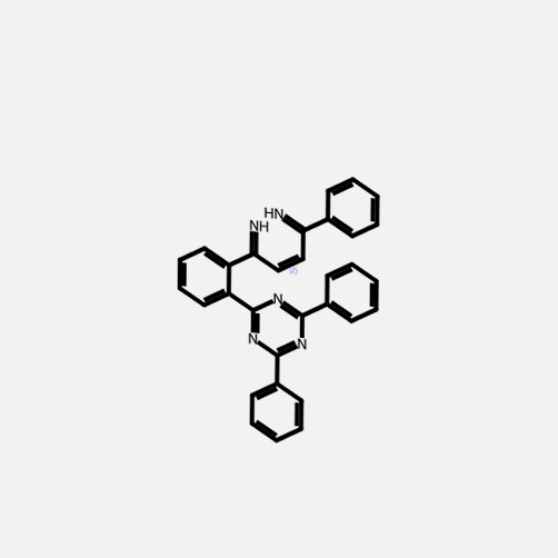 N=C(/C=C\C(=N)c1ccccc1-c1nc(-c2ccccc2)nc(-c2ccccc2)n1)c1ccccc1